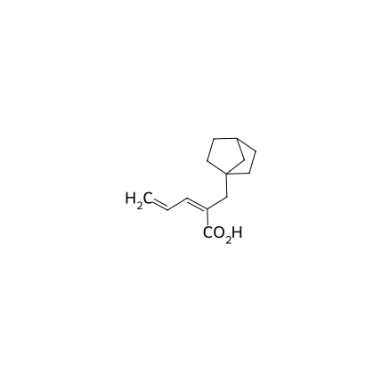 C=CC=C(CC12CCC(CC1)C2)C(=O)O